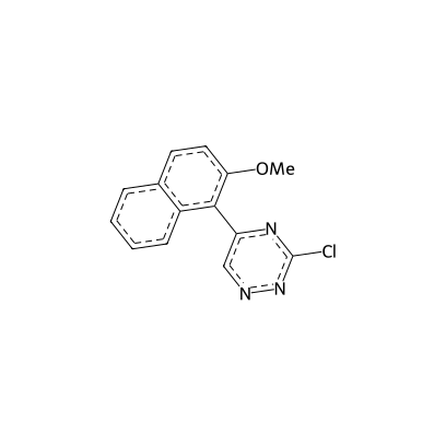 COc1ccc2ccccc2c1-c1cnnc(Cl)n1